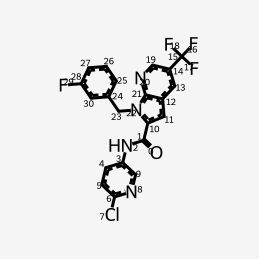 O=C(Nc1ccc(Cl)nc1)c1cc2cc(C(F)(F)F)cnc2n1Cc1cccc(F)c1